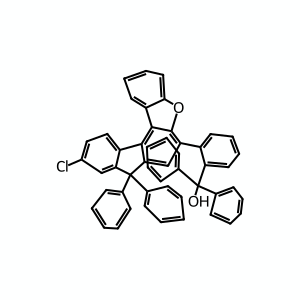 OC(c1ccccc1)(c1ccccc1)c1ccccc1-c1cc2c(c3c1oc1ccccc13)-c1ccc(Cl)cc1C2(c1ccccc1)c1ccccc1